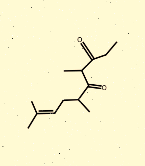 CCC(=O)C(C)C(=O)C(C)CC=C(C)C